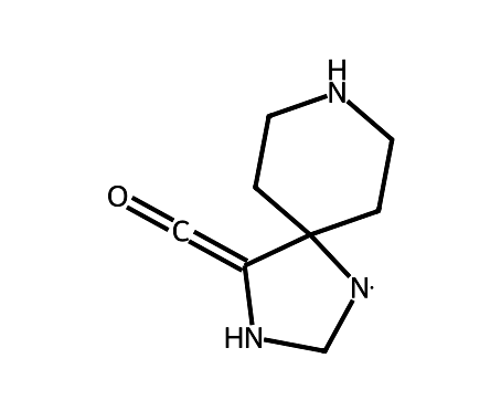 O=C=C1NC[N]C12CCNCC2